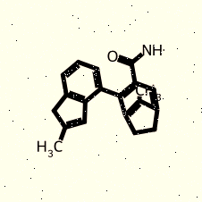 CC1=Cc2c(cccc2-c2c(C([NH])=O)cc3c(C)c2CC3)C1